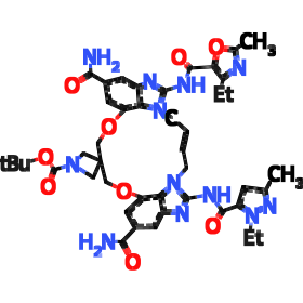 CCc1nc(C)oc1C(=O)Nc1nc2cc(C(N)=O)cc3c2n1C/C=C/Cn1c(NC(=O)c2cc(C)nn2CC)nc2cc(C(N)=O)cc(c21)OCC1(CO3)CN(C(=O)OC(C)(C)C)C1